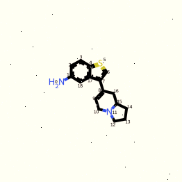 Nc1ccc2scc(C3=CCN4CCCC4C3)c2c1